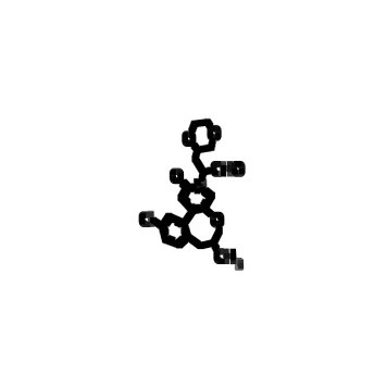 CC1COc2cn(C(C=O)CC3COCCO3)c(=O)cc2-c2cc(Cl)ccc2C1